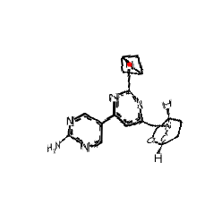 Nc1ncc(-c2cc(N3C[C@@H]4CC[C@H]3CO4)nc(N3CC4CC3C4)n2)cn1